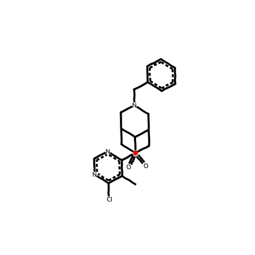 Cc1c(Cl)ncnc1OC1C2CN(Cc3ccccc3)CC1CS(=O)(=O)C2